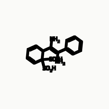 NC(=C(N)C1C=CC=CC1(S(=O)(=O)O)S(=O)(=O)O)c1ccccc1